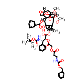 CO[C@H]1C(=O)[C@]2(C)[C@@H](OC)C[C@H]3OC[C@@]3(OC(C)=O)[C@H]2[C@H](OC(=O)c2ccccc2)[C@]2(O)C[C@H](OC(=O)[C@H](OC(=O)COC(=O)CCNC(=O)OCc3ccccc3)[C@@H](NC(=O)OC(C)(C)C)c3ccccc3)C(C)=C1C2(C)C